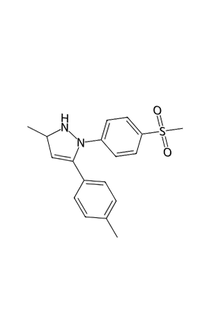 Cc1ccc(C2=CC(C)NN2c2ccc(S(C)(=O)=O)cc2)cc1